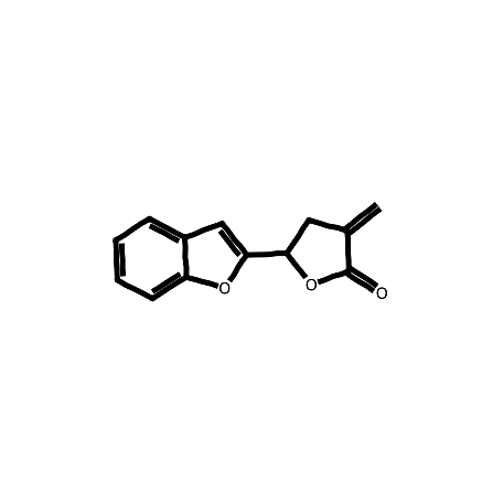 C=C1CC(c2cc3ccccc3o2)OC1=O